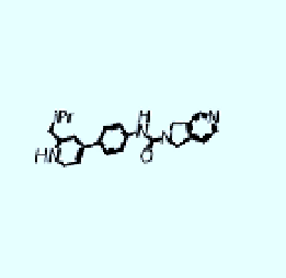 CC(C)CC1CC(c2ccc(NC(=O)N3Cc4ccncc4C3)cc2)=CCN1